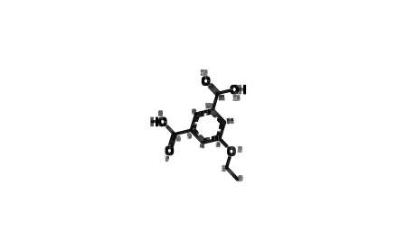 CCOc1cc(C(=O)O)cc(C(=O)O)c1